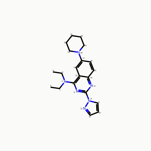 CCN(CC)c1nc(-n2cccn2)nc2ccc(N3CCCCC3)cc12